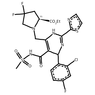 CCOC(=O)[C@@H]1CC(F)(F)CN1CC1=C(C(=O)NS(C)(=O)=O)C(c2ccc(F)cc2Cl)N=C(c2nccs2)N1